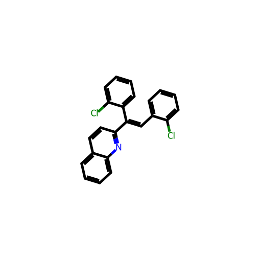 Clc1ccccc1C=C(c1ccc2ccccc2n1)c1ccccc1Cl